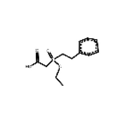 CCOP(=O)(CCc1ccccc1)CC(=O)O